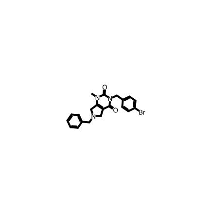 Cn1c2c(c(=O)n(Cc3ccc(Br)cc3)c1=O)CN(Cc1ccccc1)C2